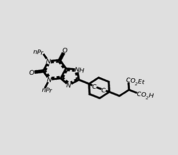 CCCn1c(=O)c2[nH]c(C34CCC(CC(C(=O)O)C(=O)OCC)(CC3)CC4)nc2n(CCC)c1=O